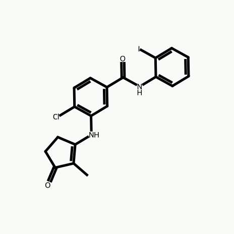 CC1=C(Nc2cc(C(=O)Nc3ccccc3I)ccc2Cl)CCC1=O